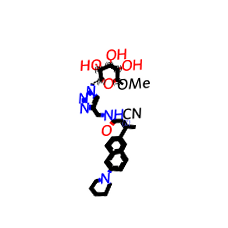 CO[C@H]1O[C@H](Cn2cc(CNC(=O)/C(C#N)=C(/C)c3ccc4cc(N5CCCCC5)ccc4c3)nn2)[C@H](O)[C@H](O)[C@H]1O